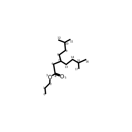 CCCOC(=O)CC(CCC(C)C)CCC(C)C